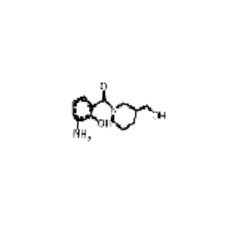 Nc1cccc(C(=O)N2CCCC(CO)C2)c1O